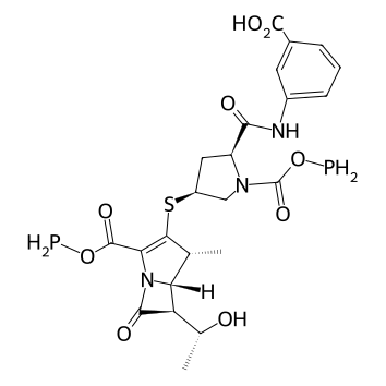 C[C@@H](O)[C@H]1C(=O)N2C(C(=O)OP)=C(S[C@H]3C[C@@H](C(=O)Nc4cccc(C(=O)O)c4)N(C(=O)OP)C3)[C@H](C)[C@H]12